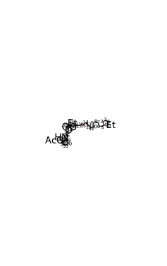 CC/C=C\C/C=C\C/C=C\C/C=C\C/C=C\CCCCOC(CC)C(=O)OCCNc1ccccc1OC(C)=O